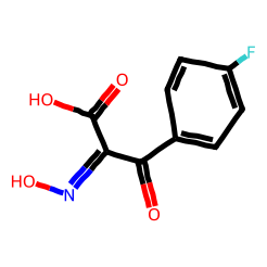 O=C(O)/C(=N\O)C(=O)c1ccc(F)cc1